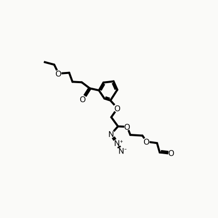 CCOCCCC(=O)c1cccc(OCC(N=[N+]=[N-])OCCOCC=O)c1